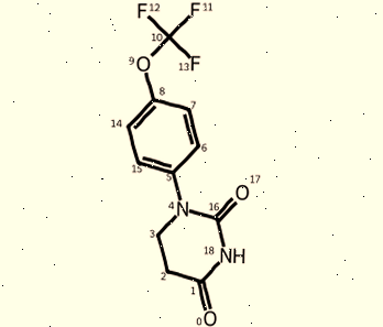 O=C1CCN(c2ccc(OC(F)(F)F)cc2)C(=O)N1